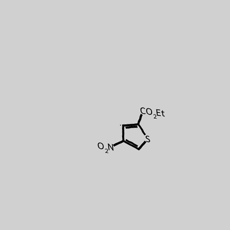 CCOC(=O)c1[c]c([N+](=O)[O-])cs1